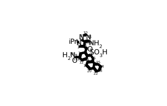 CC(C)n1cc(C(=O)c2cc(C(N)=O)ccc2C(Cc2cccc3ccccc23)S(=O)(=O)O)c2c(N)ncnc21